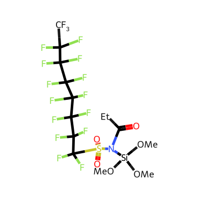 CCC(=O)N([Si](OC)(OC)OC)S(=O)(=O)C(F)(F)C(F)(F)C(F)(F)C(F)(F)C(F)(F)C(F)(F)C(F)(F)C(F)(F)F